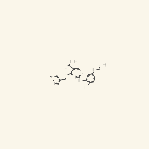 CC(=O)Nc1ccc(O)c(Nc2ncc(C(N)=O)c(NCc3cnn(C)c3)n2)c1